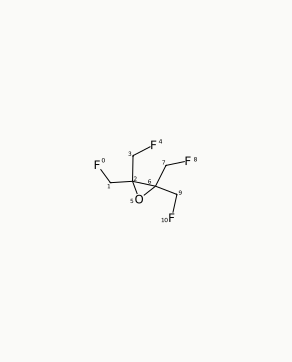 FCC1(CF)OC1(CF)CF